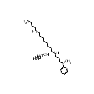 CN(CCCNCCCCCCCCNCCCN)c1ccccc1.Cl.Cl.Cl.Cl